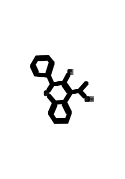 CC(O)C1=C(Cl)C(c2ccccc2)Oc2ccccc21